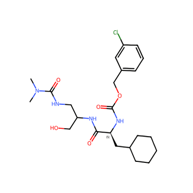 CN(C)C(=O)NCC(CO)NC(=O)[C@H](CC1CCCCC1)NC(=O)OCc1cccc(Cl)c1